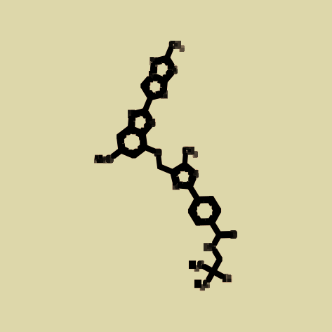 CCC(C)(C)CNC(=O)c1ccc(-c2nc(COc3cc(OC)cc4nc(-c5cn6nc(C)sc6n5)sc34)c(C)s2)cc1